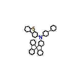 c1ccc(-c2ccc(N(c3ccc4c(c3)C3(c5ccccc5-c5ccccc53)c3ccccc3-4)c3ccc4c(c3)sc3ccccc34)cc2)cc1